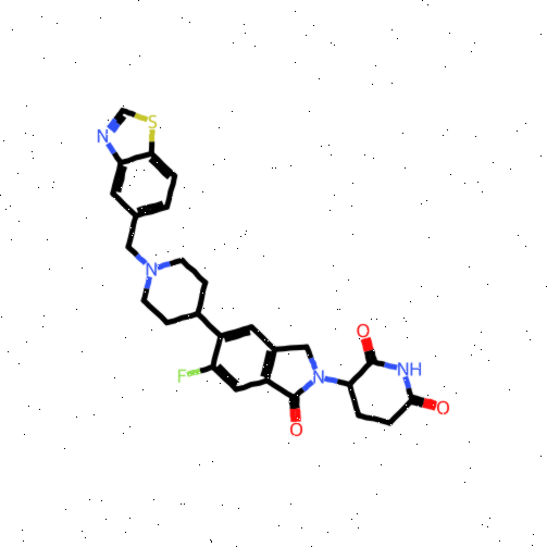 O=C1CCC(N2Cc3cc(C4CCN(Cc5ccc6scnc6c5)CC4)c(F)cc3C2=O)C(=O)N1